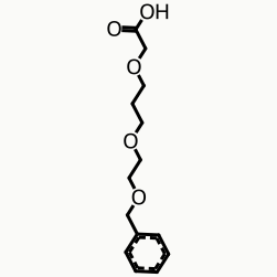 O=C(O)COCCCOCCOCc1ccccc1